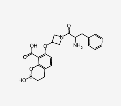 NC(Cc1ccccc1)C(=O)N1CC(Oc2ccc3c(c2C(=O)O)OB(O)CC3)C1